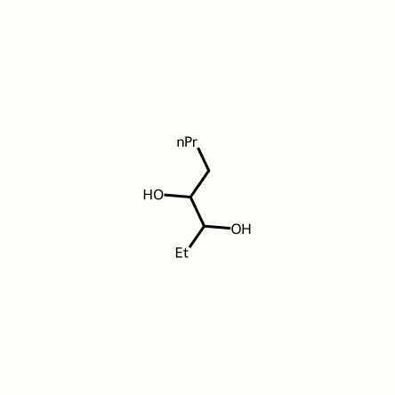 [CH2]CCCC(O)C(O)CC